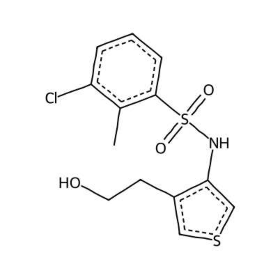 Cc1c(Cl)cccc1S(=O)(=O)Nc1cscc1CCO